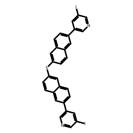 Ic1cncc(-c2ccc3cc(Sc4ccc5cc(-c6cncc(I)c6)ccc5c4)ccc3c2)c1